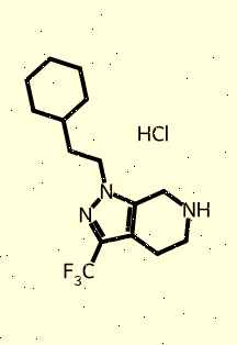 Cl.FC(F)(F)c1nn(CCC2CCCCC2)c2c1CCNC2